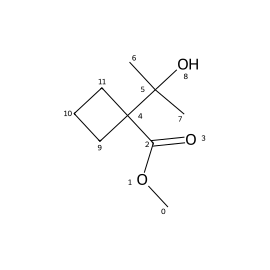 COC(=O)C1(C(C)(C)O)CCC1